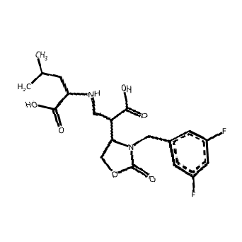 CC(C)CC(NCC(C(=O)O)C1COC(=O)N1Cc1cc(F)cc(F)c1)C(=O)O